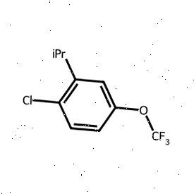 [CH2]C(C)c1cc(OC(F)(F)F)ccc1Cl